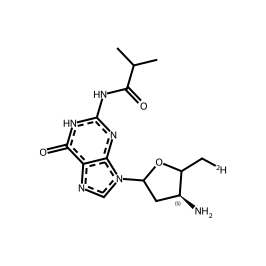 [2H]CC1OC(n2cnc3c(=O)[nH]c(NC(=O)C(C)C)nc32)C[C@@H]1N